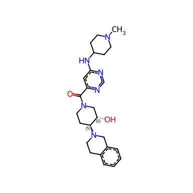 CN1CCC(Nc2cc(C(=O)N3CC[C@H](N4CCc5ccccc5C4)[C@@H](O)C3)ncn2)CC1